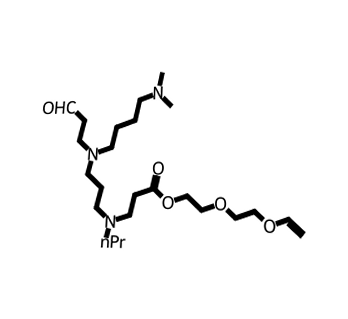 C=COCCOCCOC(=O)CCN(CCC)CCCN(CCC=O)CCCCN(C)C